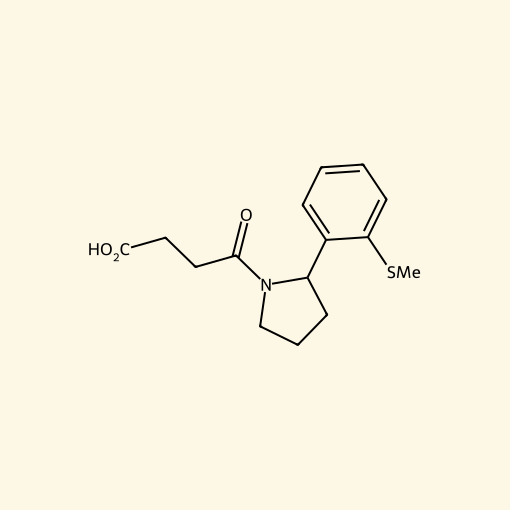 CSc1ccccc1C1CCCN1C(=O)CCC(=O)O